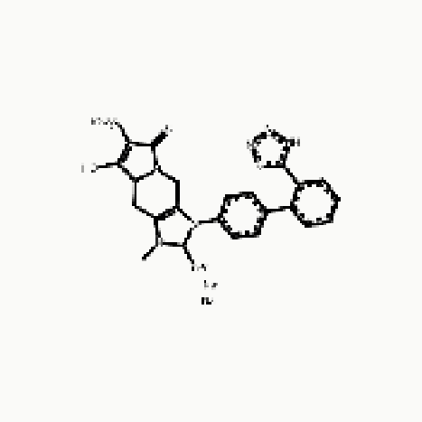 CCCC1N(C)C2=C(CN3C(=O)C(C(=O)OCC)=C(O)C3C2)N1c1ccc(-c2ccccc2-c2nnn[nH]2)cc1.[Na].[Na]